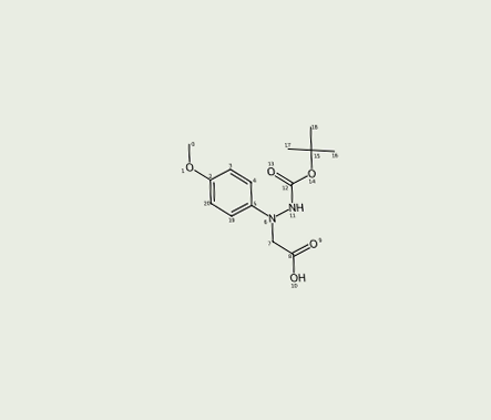 COc1ccc(N(CC(=O)O)NC(=O)OC(C)(C)C)cc1